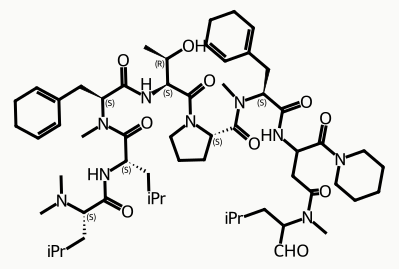 CC(C)CC(C=O)N(C)C(=O)CC(NC(=O)[C@H](CC1=CCCC=C1)N(C)C(=O)[C@@H]1CCCN1C(=O)[C@@H](NC(=O)[C@H](CC1=CCCC=C1)N(C)C(=O)[C@H](CC(C)C)NC(=O)[C@H](CC(C)C)N(C)C)[C@@H](C)O)C(=O)N1CCCCC1